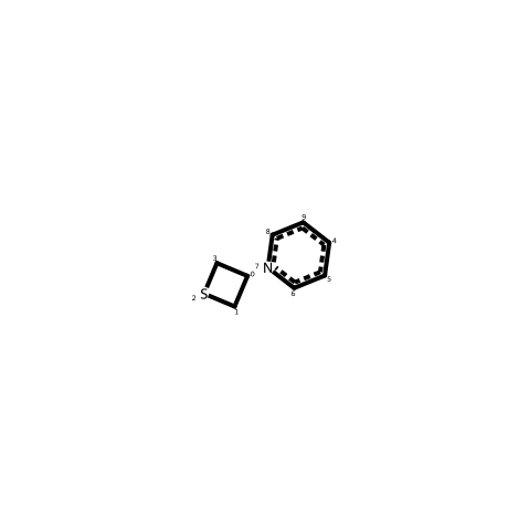 C1CSC1.c1ccncc1